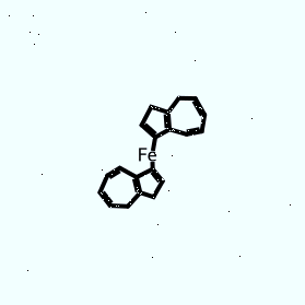 C1=CCC2=C(C=C1)[C]([Fe][C]1=CCC3=C1C=CC=CC3)=CC2